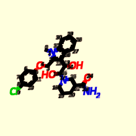 Cn1c(COc2ccc(Cl)cc2)c(C(O)C(O)N2CCCC(C(N)=O)C2)c2ccccc21